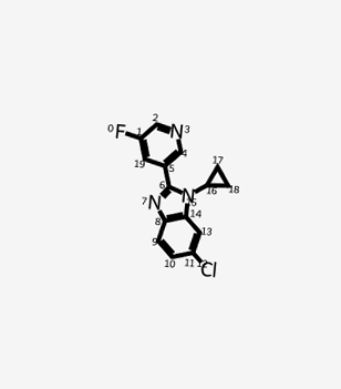 Fc1cncc(-c2nc3ccc(Cl)cc3n2C2CC2)c1